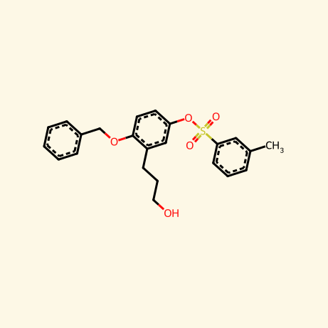 Cc1cccc(S(=O)(=O)Oc2ccc(OCc3ccccc3)c(CCCO)c2)c1